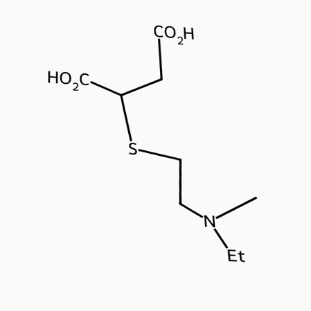 CCN(C)CCSC(CC(=O)O)C(=O)O